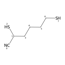 N#CC(S)CCCCS